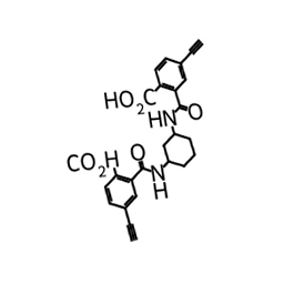 C#Cc1ccc(C(=O)O)c(C(=O)NC2CCCC(NC(=O)c3cc(C#C)ccc3C(=O)O)C2)c1